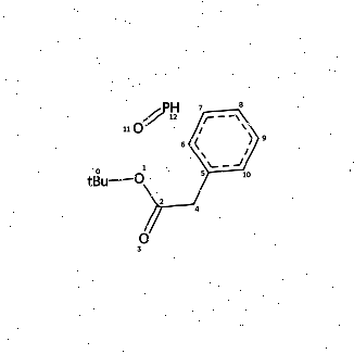 CC(C)(C)OC(=O)Cc1ccccc1.O=P